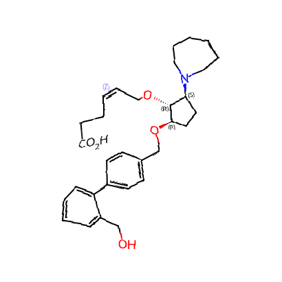 O=C(O)CC/C=C\CO[C@H]1[C@H](OCc2ccc(-c3ccccc3CO)cc2)CC[C@@H]1N1CCCCCC1